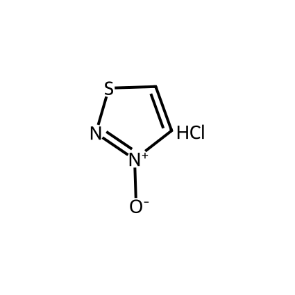 Cl.[O-][n+]1ccsn1